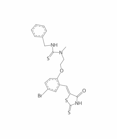 CN(CCOc1ccc(Br)cc1/C=C1\SC(=S)NC1=O)C(=S)NCc1ccccc1